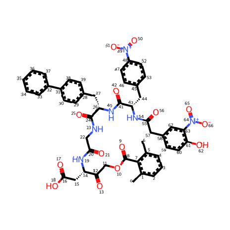 Cc1cccc(C)c1C(=O)OCC(=O)[C@H](CC(=O)O)NC(=O)CNC(=O)[C@H](Cc1ccc(-c2ccccc2)cc1)NC(=O)[C@H](Cc1ccc([N+](=O)[O-])cc1)NC(=O)Cc1ccc(O)c([N+](=O)[O-])c1